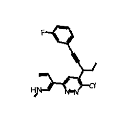 C=C/C(=C\NC)c1cc(C(C#Cc2cccc(F)c2)CC)c(Cl)nn1